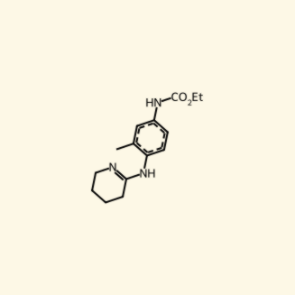 CCOC(=O)Nc1ccc(NC2=NCCCC2)c(C)c1